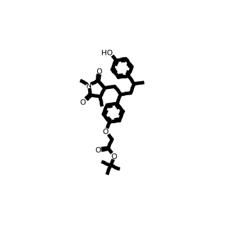 CC(CC(CC1C(=O)N(C)C(=O)C1C)c1ccc(OCC(=O)OC(C)(C)C)cc1)c1ccc(O)cc1